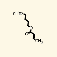 CC=CC(=O)OCCCCCCCCCC